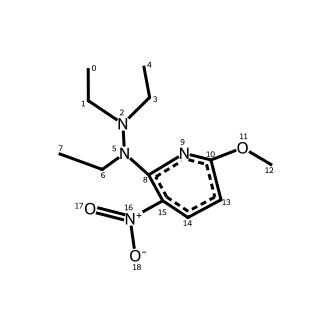 CCN(CC)N(CC)c1nc(OC)ccc1[N+](=O)[O-]